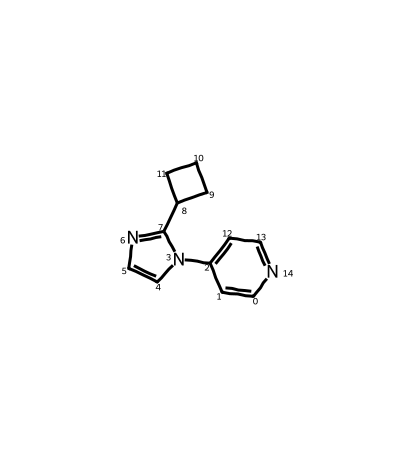 c1cc(-n2ccnc2C2CCC2)ccn1